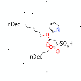 CCCCCCCCCCCCCCCCOC(=O)CC(C(=O)OCCCCCCCCCCCC)S(=O)(=O)O.c1ccncc1